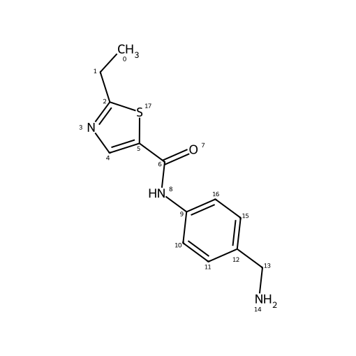 CCc1ncc(C(=O)Nc2ccc(CN)cc2)s1